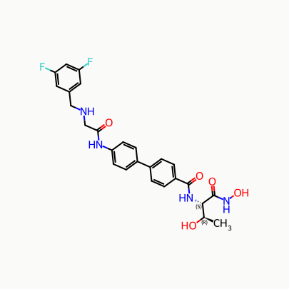 C[C@@H](O)[C@H](NC(=O)c1ccc(-c2ccc(NC(=O)CNCc3cc(F)cc(F)c3)cc2)cc1)C(=O)NO